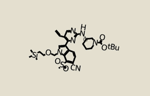 C=Cc1cnc(N[C@H]2CCCN(C(=O)OC(C)(C)C)C2)nc1-c1cn(COCC[Si](C)(C)C)c2c(S(C)(=O)=O)c(C#N)ccc12